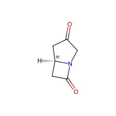 O=C1C[C@@H]2CC(=O)N2C1